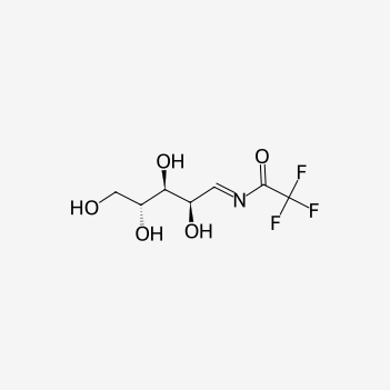 O=C(N=C[C@@H](O)[C@H](O)[C@H](O)CO)C(F)(F)F